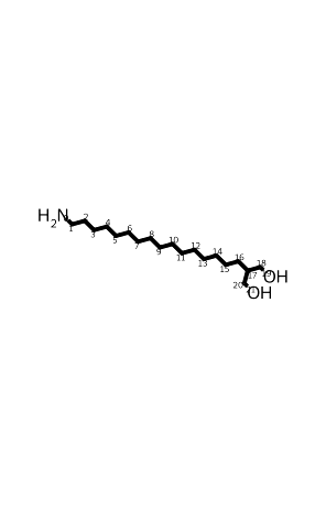 NCCCCCCCCCCCCCCCCC(CO)CO